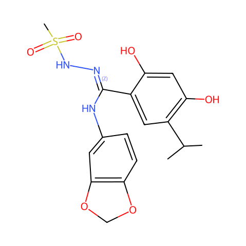 CC(C)c1cc(/C(=N/NS(C)(=O)=O)Nc2ccc3c(c2)OCO3)c(O)cc1O